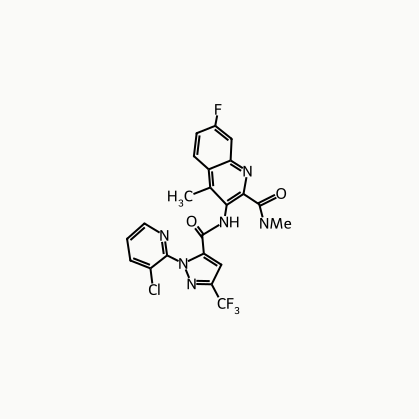 CNC(=O)c1nc2cc(F)ccc2c(C)c1NC(=O)c1cc(C(F)(F)F)nn1-c1ncccc1Cl